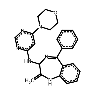 C=C1Nc2ccccc2C(c2ccccc2)=NC1Nc1cc(N2CCOCC2)ncn1